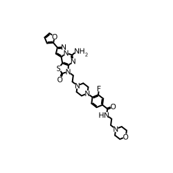 Nc1nc2c(sc(=O)n2CCN2CCN(c3ccc(C(=O)NCCN4CCOCC4)cc3F)CC2)c2cc(-c3ccco3)nn12